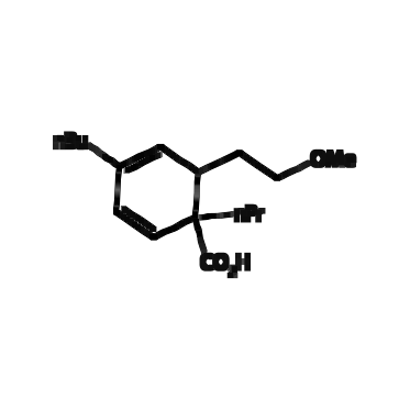 CCCCC1=CC(CCOC)C(CCC)(C(=O)O)C=C1